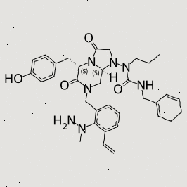 C=Cc1cccc(CN2C[C@H]3N(C(=O)CN3N(CCC)C(=O)NCC3=CCCC=C3)[C@@H](Cc3ccc(O)cc3)C2=O)c1N(C)N